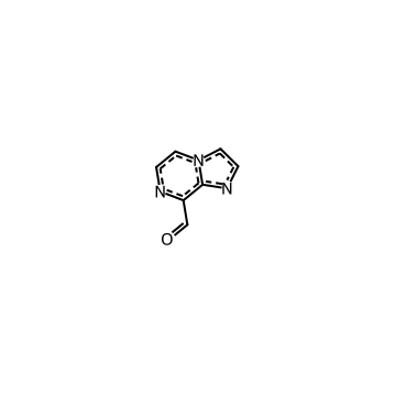 O=Cc1nccn2ccnc12